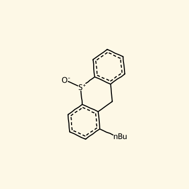 CCCCc1cccc2c1Cc1ccccc1[S+]2[O-]